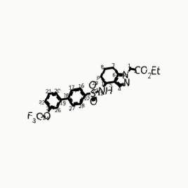 CCOC(=O)Cn1ncc2c1CCCC2NS(=O)(=O)c1ccc(-c2cccc(OC(F)(F)F)c2)cc1